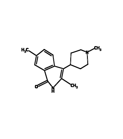 Cc1ccc2c(C3CCN(C)CC3)c(C)[nH]c(=O)c2c1